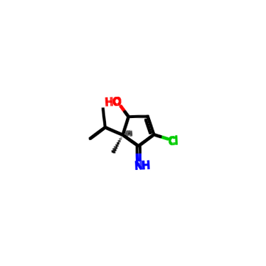 CC(C)[C@]1(C)C(=N)C(Cl)=CC1O